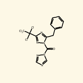 O=C(n1cncn1)n1nc(C(Cl)(Cl)C(Cl)(Cl)Cl)nc1Cc1ccccc1